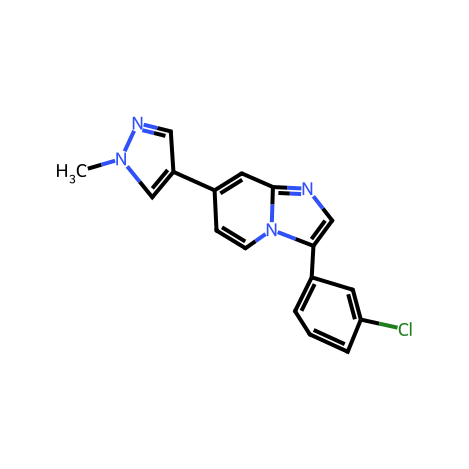 Cn1cc(-c2ccn3c(-c4cccc(Cl)c4)cnc3c2)cn1